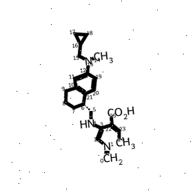 C=N/C=C(NC[C@@H]1CCCc2cc(N(C)CC3CC3)ccc21)\C(=C/C)C(=O)O